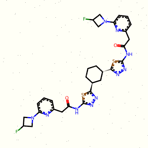 O=C(Cc1cccc(N2CC(F)C2)n1)Nc1nnc([C@H]2CCC[C@H](c3nnc(NC(=O)Cc4cccc(N5CC(F)C5)n4)s3)C2)s1